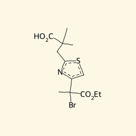 CCOC(=O)C(C)(Br)c1csc(CC(C)(C)C(=O)O)n1